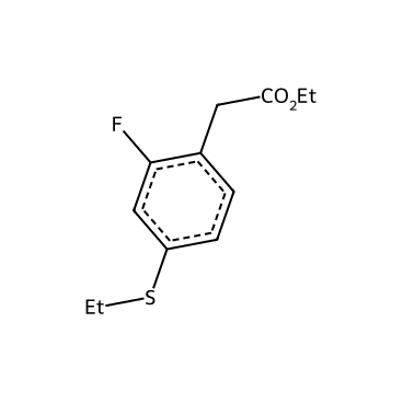 CCOC(=O)Cc1ccc(SCC)cc1F